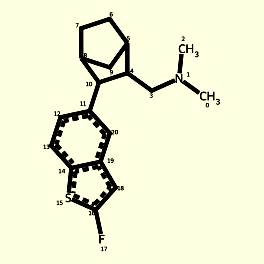 CN(C)CC1C2CCC(C2)C1c1ccc2sc(F)cc2c1